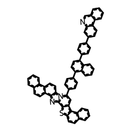 c1ccc2c(c1)cnc1cc(-c3ccc(-c4ccc(-c5ccc(-c6cc7c(sc8ccc9ccccc9c87)c7nc8c9ccc%10ccccc%10c9ccc8n67)cc5)c5ccccc45)cc3)ccc12